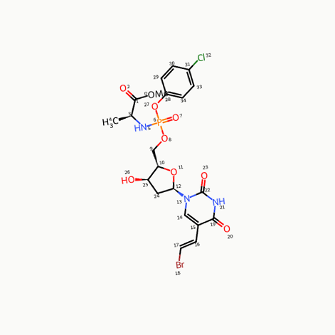 COC(=O)[C@H](C)NP(=O)(OC[C@H]1O[C@@H](n2cc(/C=C/Br)c(=O)[nH]c2=O)C[C@H]1O)Oc1ccc(Cl)cc1